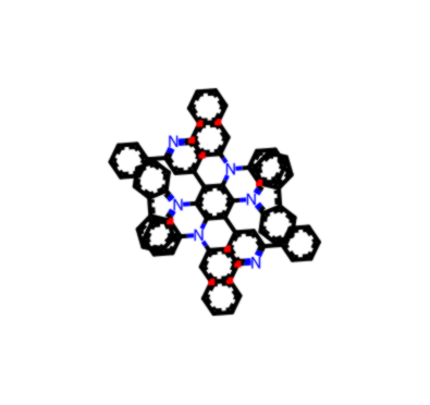 c1ccc(-c2cc(-c3c(N(c4ccccc4)c4ccccc4)c(-n4c5ccccc5c5ccccc54)c(-c4cc(-c5ccccc5)nc(-c5ccccc5)c4)c(N(c4ccccc4)c4ccccc4)c3-n3c4ccccc4c4ccccc43)cc(-c3ccccc3)n2)cc1